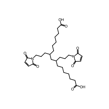 O=C(O)CCCCCCC(CCCN1C(=O)C=CC1=O)CC(CCCCCCC(=O)O)CCCN1C(=O)C=CC1=O